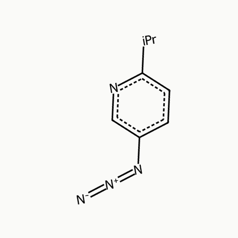 CC(C)c1ccc(N=[N+]=[N-])cn1